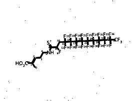 CC(=CCCNC(=S)C(F)CC(F)(F)C(F)(F)C(F)(F)C(F)(F)C(F)(F)C(F)(F)C(F)(F)C(F)(F)C(F)(F)C(F)(F)F)C(=O)O